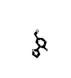 O=Cc1ccc(F)c(-c2ccco2)c1